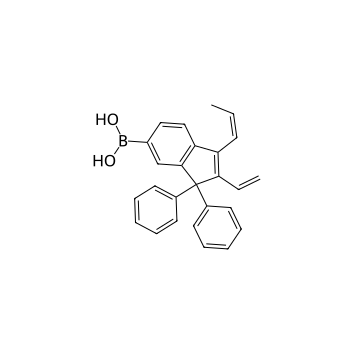 C=CC1=C(/C=C\C)c2ccc(B(O)O)cc2C1(c1ccccc1)c1ccccc1